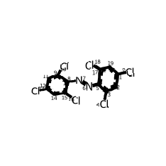 Clc1cc(Cl)c(N=Nc2c(Cl)cc(Cl)cc2Cl)c(Cl)c1